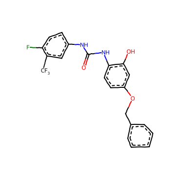 O=C(Nc1ccc(F)c(C(F)(F)F)c1)Nc1ccc(OCc2ccccc2)cc1O